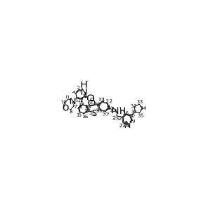 O=c1[nH]ccc(N2CCOCC2)c1-c1cccc2c1Oc1ccc(NCc3cncc(C4CCCC4)c3)cc1S2